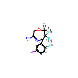 CC1(C)OCC(N)=N[C@](C)(c2cc(I)ccc2F)C1(F)F